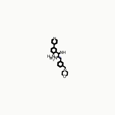 N=C(/C(N)=C/c1cccc(CN2CCOCC2)c1)c1cc(-c2ccncc2)ccc1N